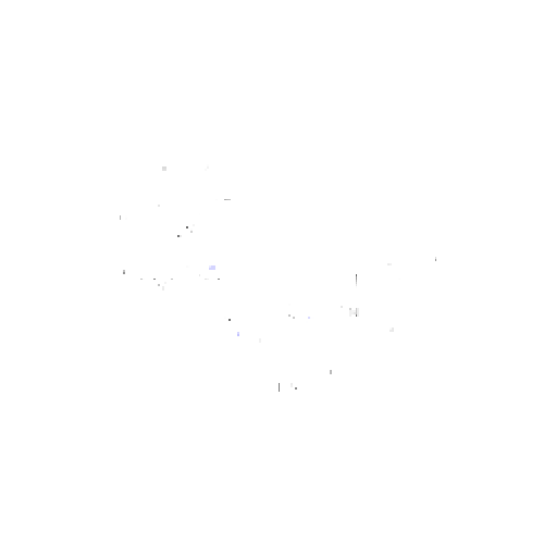 C=N\C(=C/N=C\N=C(/C=N)N1CC2CC2C1)n1c(C)ccc1C